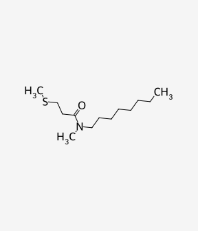 CCCCCCCCN(C)C(=O)CCSC